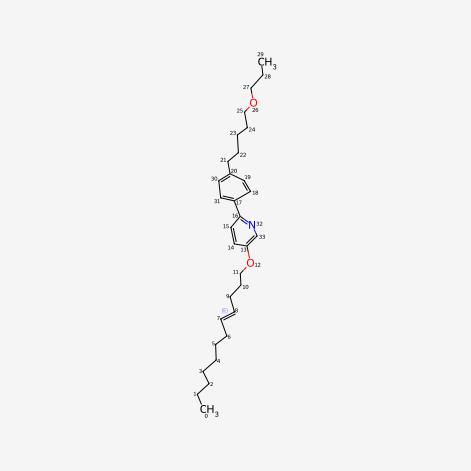 CCCCCCC/C=C/CCCOc1ccc(-c2ccc(CCCCCOCCC)cc2)nc1